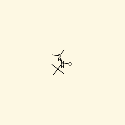 C[SiH](C)[NH+]([O-])C(C)(C)C